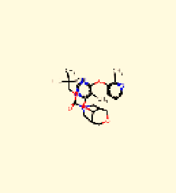 Cc1ncccc1Oc1ncnc(OC2C3COCC2CN(C(=O)OCC(C)(C)C)C3)c1C